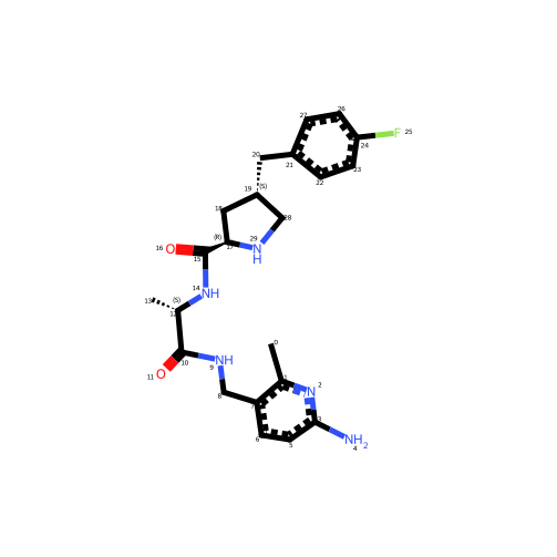 Cc1nc(N)ccc1CNC(=O)[C@H](C)NC(=O)[C@H]1C[C@H](Cc2ccc(F)cc2)CN1